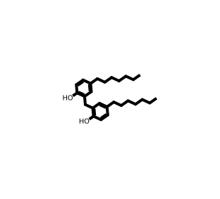 CCCCCCCc1ccc(O)c(Cc2cc(CCCCCCC)ccc2O)c1